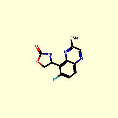 COc1cnc2ccc(F)c(C3COC(=O)N3)c2n1